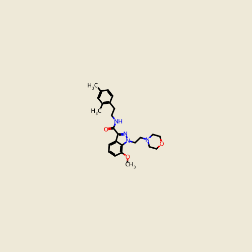 COc1cccc2c(C(=O)NCCc3ccc(C)cc3C)nn(CCN3CCOCC3)c12